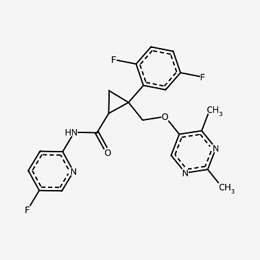 Cc1ncc(OCC2(c3cc(F)ccc3F)CC2C(=O)Nc2ccc(F)cn2)c(C)n1